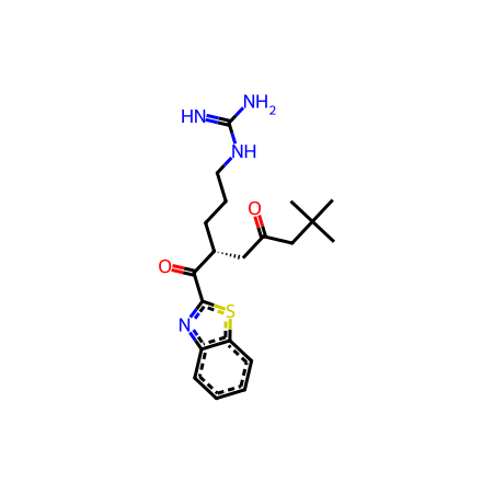 CC(C)(C)CC(=O)C[C@@H](CCCNC(=N)N)C(=O)c1nc2ccccc2s1